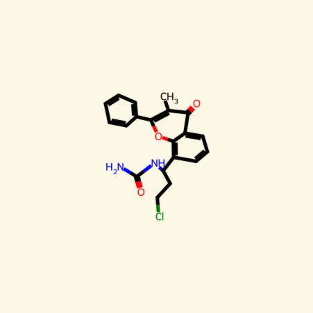 Cc1c(-c2ccccc2)oc2c(C(CCCl)NC(N)=O)cccc2c1=O